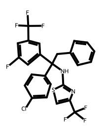 Fc1cc(C(F)(F)F)cc(C(Cc2ccccc2)(Nc2nc(C(F)(F)F)cs2)c2ccc(Cl)cc2)c1